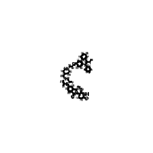 CCC(=C(c1ccccc1)c1ccc(OCCN2CCC(CN3CC(C)N(c4ccc5c(c4)C(=O)N(C4CCC(=O)NC4=O)C5=O)C(C)C3)CC2)cc1)c1ccccc1